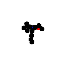 c1ccc(-c2c(-c3ccccc3)c3cc(N(c4ccc(-c5ccc(-c6ccc7ccccc7c6)cc5)cc4)c4ccc(-c5cccc6c5oc5ccccc56)cc4)ccc3c3ccccc23)cc1